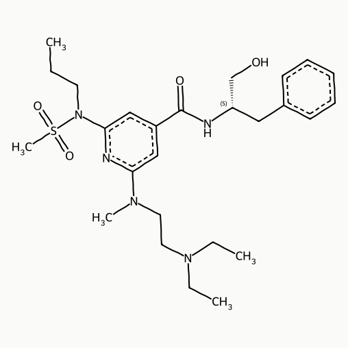 CCCN(c1cc(C(=O)N[C@H](CO)Cc2ccccc2)cc(N(C)CCN(CC)CC)n1)S(C)(=O)=O